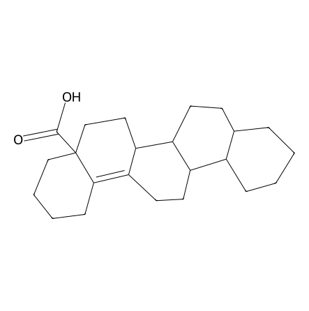 O=C(O)C12CCCCC1=C1CCC3C4CCCCC4CCC3C1CC2